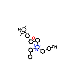 C[C@@H]1C[C@@H]2C[C@H](C)CC(c3ccc(-c4cccc5c4oc4cccc(-c6nc(-c7cccc(-c8ccccc8)c7)nc(-c7cccc(-c8ccc(C#N)cc8)c7)n6)c45)cc3)(C1)C2